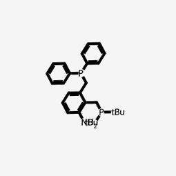 CC(C)(C)P(Cc1c(N)cccc1CP(c1ccccc1)c1ccccc1)C(C)(C)C